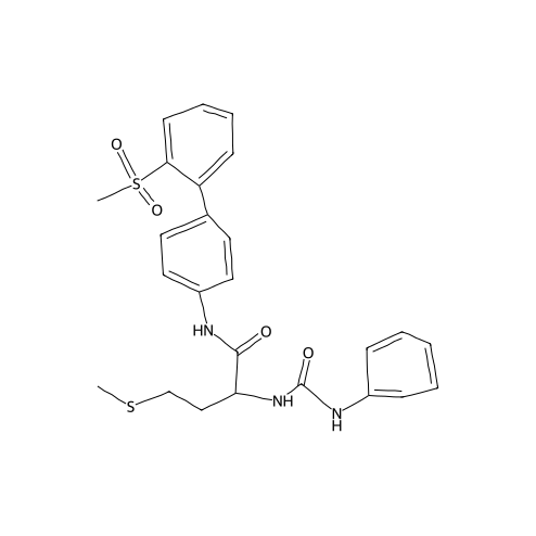 CSCCC(NC(=O)Nc1ccccc1)C(=O)Nc1ccc(-c2ccccc2S(C)(=O)=O)cc1